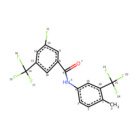 Cc1ccc(NC(=O)c2cc(F)cc(C(F)(F)F)c2)cc1C(F)(F)F